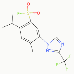 Cc1cc(C(C)C)c(S(=O)(=O)F)cc1-n1cnc(C(F)(F)F)n1